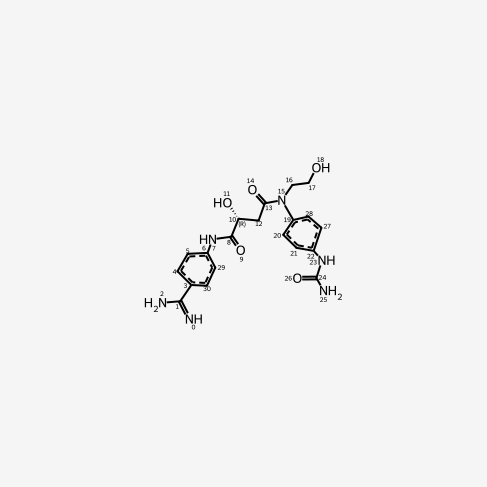 N=C(N)c1ccc(NC(=O)[C@H](O)CC(=O)N(CCO)c2ccc(NC(N)=O)cc2)cc1